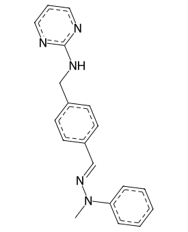 CN(N=Cc1ccc(CNc2ncccn2)cc1)c1ccccc1